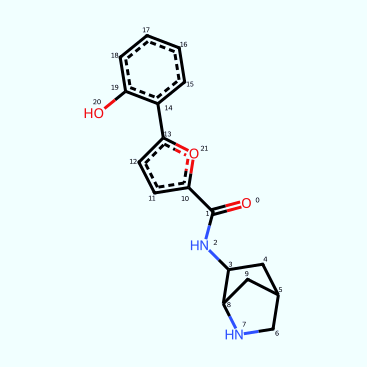 O=C(NC1CC2CNC1C2)c1ccc(-c2ccccc2O)o1